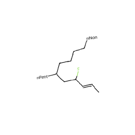 CC=CC(F)CC(CCCCC)CCCCCCCCCCCCC